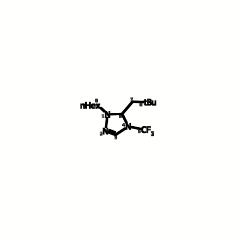 CCCCCCN1N=CN(C(F)(F)F)C1CC(C)(C)C